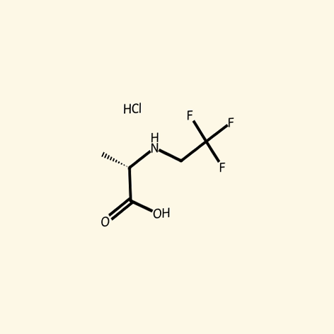 C[C@H](NCC(F)(F)F)C(=O)O.Cl